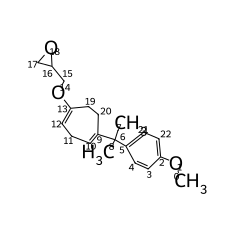 COc1ccc(C(C)(C)C2=CCC=C(OCC3CO3)CC2)cc1